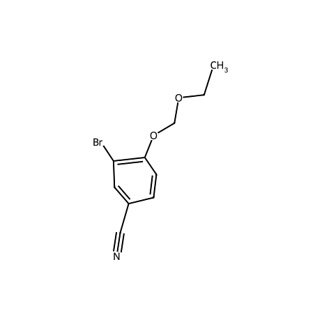 CCOCOc1ccc(C#N)cc1Br